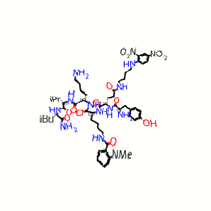 CCC(C)[C@H](NC(=O)[C@@H](NC(=O)[C@H](CCCCN)NC(=O)[C@H](CCCCNC(=O)c1ccccc1NC)NC(=O)[C@H](CCC(=O)NCCCCNc1ccc([N+](=O)[O-])cc1[N+](=O)[O-])NC(=O)[C@@H](N)Cc1ccc(O)cc1)C(C)C)C(N)=O